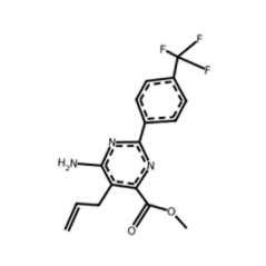 C=CCc1c(N)nc(-c2ccc(C(F)(F)F)cc2)nc1C(=O)OC